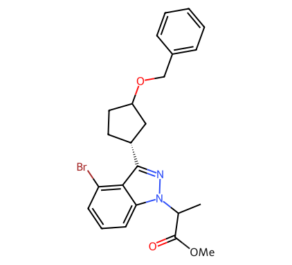 COC(=O)C(C)n1nc([C@@H]2CCC(OCc3ccccc3)C2)c2c(Br)cccc21